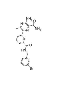 Cc1nc(N)c(C(N)=O)nc1-c1cccc(C(=O)NCc2cccc(Br)c2)c1